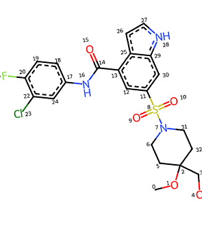 COC1(CO)CCN(S(=O)(=O)c2cc(C(=O)Nc3ccc(F)c(Cl)c3)c3cc[nH]c3c2)CC1